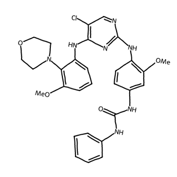 COc1cc(NC(=O)Nc2ccccc2)ccc1Nc1ncc(Cl)c(Nc2cccc(OC)c2N2CCOCC2)n1